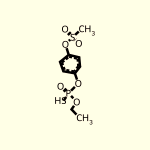 CCOP(=O)(S)Oc1ccc(OS(C)(=O)=O)cc1